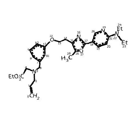 C=CCN(CC(=O)OCC)Cc1cccc(OCCc2nc(-c3ccc(N(CC)CC)nc3)oc2C)c1